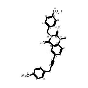 COc1ccc(CC#Cc2ccc3c(c2)c(=O)n(Cc2ccc(C(=O)O)cc2)c(=O)n3C)cc1